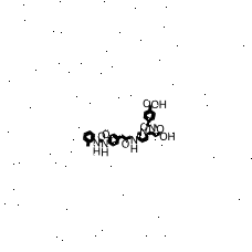 COc1cc(CC(=O)CNc2ccc(C(CC(=O)O)N(C)C(=O)c3ccc(C(=O)O)cc3)nc2)ccc1NC(=O)Nc1ccccc1C